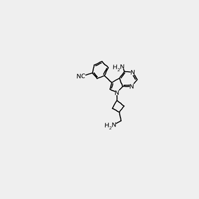 N#Cc1cccc(-c2cn(C3CC(CN)C3)c3ncnc(N)c23)c1